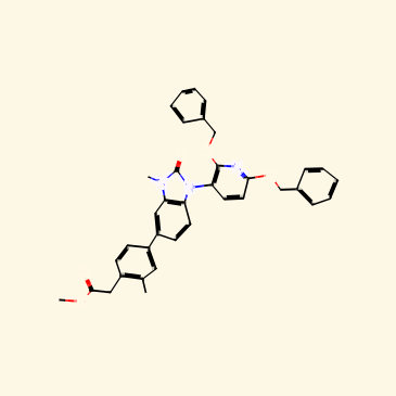 COC(=O)Cc1ccc(-c2ccc3c(c2)n(C)c(=O)n3-c2ccc(OCc3ccccc3)nc2OCc2ccccc2)cc1C